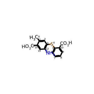 Cc1cc(Sc2ccccc2C(=O)O)c(N)cc1C(=O)O